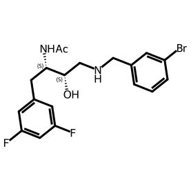 CC(=O)N[C@@H](Cc1cc(F)cc(F)c1)[C@@H](O)CNCc1cccc(Br)c1